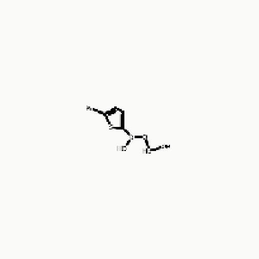 OBOB(O)c1ccc(Br)s1